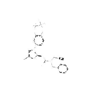 C#CCN(Cc1ccccc1)C(=O)N=c1sc(C)cn1-c1ccc2c(c1)OC(F)(F)C(F)(F)O2